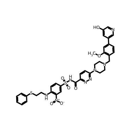 COc1cc(-c2cncc(O)c2)ccc1CN1CCN(c2ccc(C(=O)NS(=O)(=O)c3ccc(NCCSc4ccccc4)c([N+](=O)[O-])c3)nn2)CC1